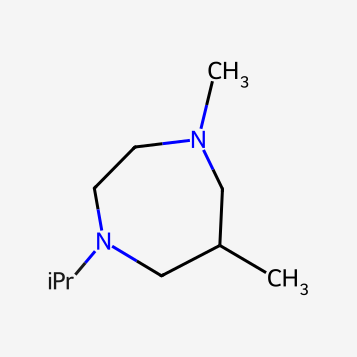 CC1CN(C)CCN(C(C)C)C1